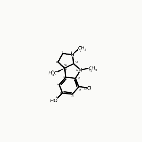 CN1CC[C@@]2(C)c3cc(O)cc(Cl)c3N(C)C12